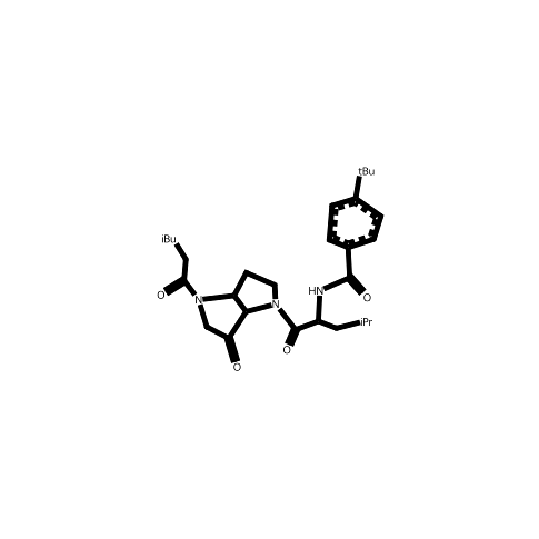 CCC(C)CC(=O)N1CC(=O)C2C1CCN2C(=O)C(CC(C)C)NC(=O)c1ccc(C(C)(C)C)cc1